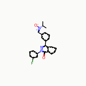 CC(C)/[N+]([O-])=C\c1cccc(-c2nn(-c3cccc(F)c3)c(=O)c3ccccc23)c1